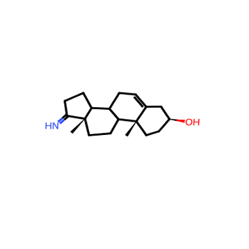 C[C@]12CC[C@H](O)CC1=CCC1C2CC[C@]2(C)C(=N)CCC12